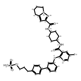 CS(=O)(=O)OCCCc1ccc(-c2cccc(Oc3ncc(F)cc3C(=O)NC3CCC(NC(=O)c4cc5n(n4)CCCC5)CC3)c2)cc1